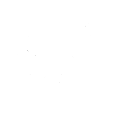 CC/C=C(/OC(C(F)(F)F)C(F)(F)F)N1CCC2(CCCN2Cc2cc(N3CCCCC3)cc(C(F)(F)F)c2)CC1